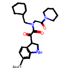 COc1ccc2c(c1)NCC2C(=O)C(=O)N(CC(=O)N1CCCCC1)CC1CCCCC1